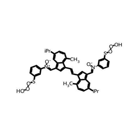 Cc1ccc(C(C)C)cc2c(/C=[N+](\[O-])c3cccc(SOOO)c3)cc(/C=C/c3cc(/C=[N+](\[O-])c4cccc(SOOO)c4)c4cc(C(C)C)ccc(C)c3-4)c1-2